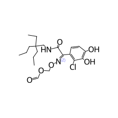 CCCC(CC)(CCC)CNC(=O)/C(=N\OCOC=O)c1ccc(O)c(O)c1Cl